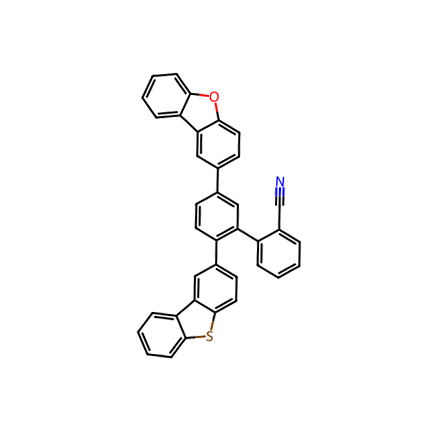 N#Cc1ccccc1-c1cc(-c2ccc3oc4ccccc4c3c2)ccc1-c1ccc2sc3ccccc3c2c1